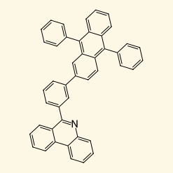 c1ccc(-c2c3ccccc3c(-c3ccccc3)c3cc(-c4cccc(-c5nc6ccccc6c6ccccc56)c4)ccc23)cc1